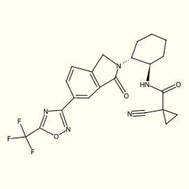 N#CC1(C(=O)N[C@@H]2CCCC[C@H]2N2Cc3ccc(-c4noc(C(F)(F)F)n4)cc3C2=O)CC1